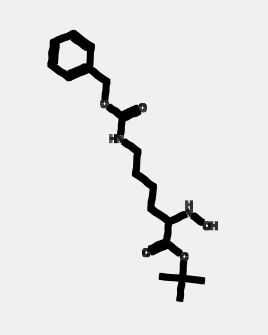 CC(C)(C)OC(=O)C(CCCCNC(=O)OCc1ccccc1)NO